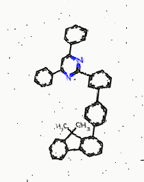 CC1(C)c2ccccc2-c2cccc(-c3ccc(-c4cccc(-c5nc(-c6ccccc6)cc(-c6ccccc6)n5)c4)cc3)c21